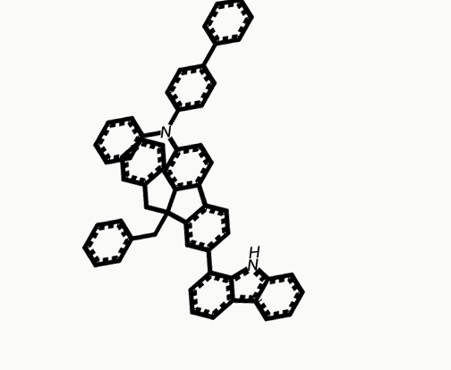 c1ccc(CC2(Cc3ccccc3)c3cc(-c4cccc5c4[nH]c4ccccc45)ccc3-c3ccc(N(c4ccccc4)c4ccc(-c5ccccc5)cc4)cc32)cc1